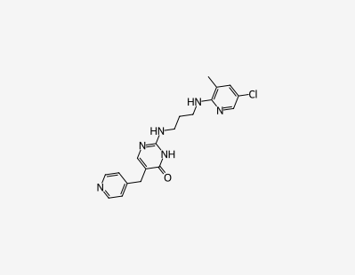 Cc1cc(Cl)cnc1NCCCNc1ncc(Cc2ccncc2)c(=O)[nH]1